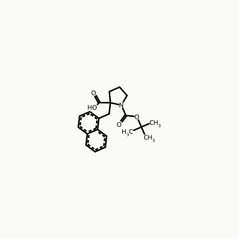 CC(C)(C)OC(=O)N1CCCC1(Cc1cccc2ccccc12)C(=O)O